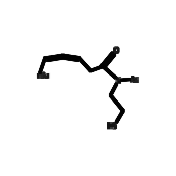 CCCCC=C=CCC(=O)N(CCS)C(C)=O